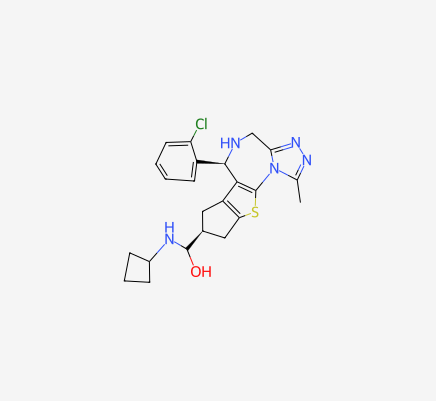 Cc1nnc2n1-c1sc3c(c1[C@@H](c1ccccc1Cl)NC2)C[C@H](C(O)NC1CCC1)C3